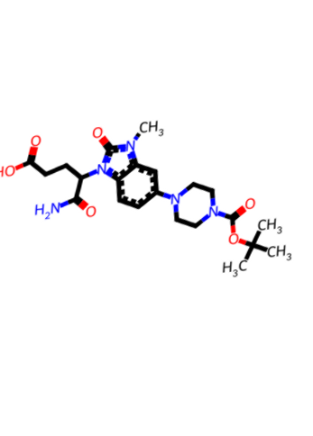 Cn1c(=O)n(C(CCC(=O)O)C(N)=O)c2ccc(N3CCN(C(=O)OC(C)(C)C)CC3)cc21